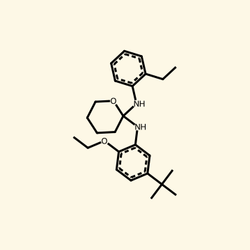 CCOc1ccc(C(C)(C)C)cc1NC1(Nc2ccccc2CC)CCCCO1